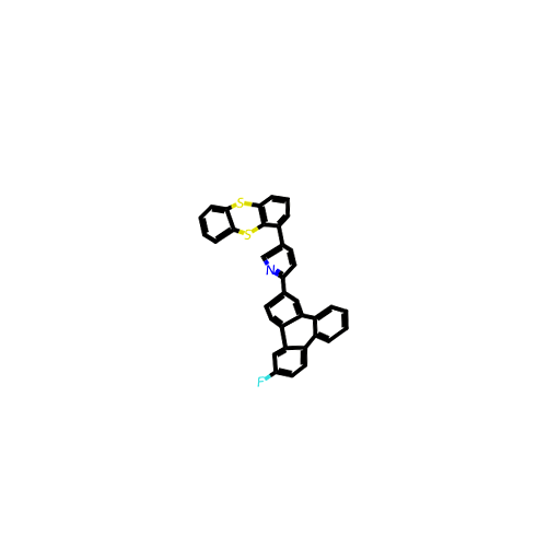 Fc1ccc2c3ccccc3c3cc(-c4ccc(-c5cccc6c5Sc5ccccc5S6)cn4)ccc3c2c1